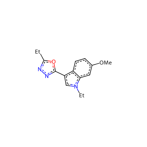 CCc1nnc(-c2cn(CC)c3cc(OC)ccc23)o1